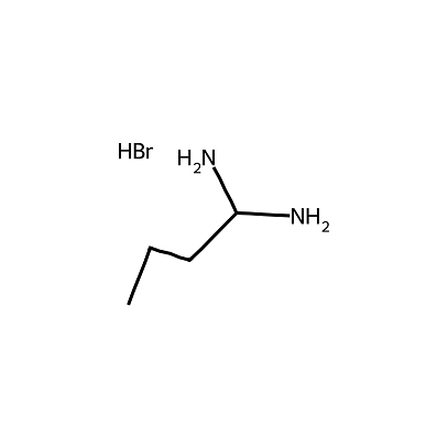 Br.CCCC(N)N